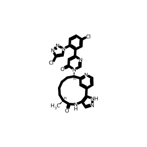 C[C@@H]1CCCC[C@H](n2cnc(-c3cc(Cl)ccc3-n3cc(Cl)nn3)cc2=O)c2cc(ccn2)-c2[nH]ncc2NC1=O